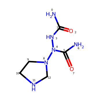 NC(=O)NN(C(N)=O)N1CCNC1